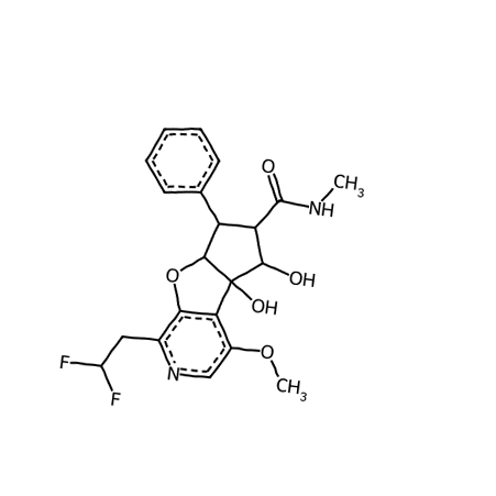 CNC(=O)C1C(c2ccccc2)C2Oc3c(CC(F)F)ncc(OC)c3C2(O)C1O